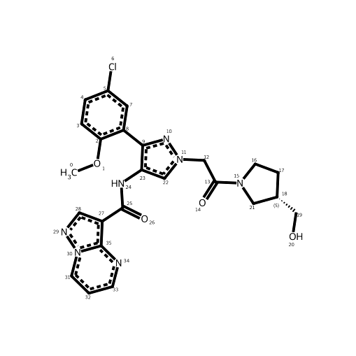 COc1ccc(Cl)cc1-c1nn(CC(=O)N2CC[C@H](CO)C2)cc1NC(=O)c1cnn2cccnc12